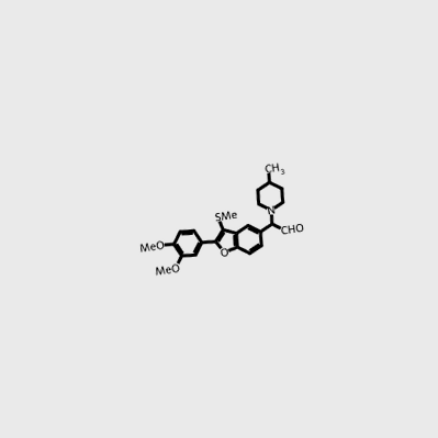 COc1ccc(-c2oc3ccc(C(C=O)N4CCC(C)CC4)cc3c2SC)cc1OC